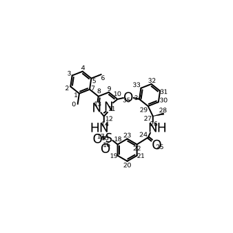 Cc1cccc(C)c1-c1cc2nc(n1)NS(=O)(=O)c1cccc(c1)C(=O)N[C@H](C)c1ccccc1O2